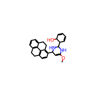 COC1=CC(c2ccc3c4c2CCc2cccc(c2-4)CC3)NC(C2C=CC=CC2O)N1